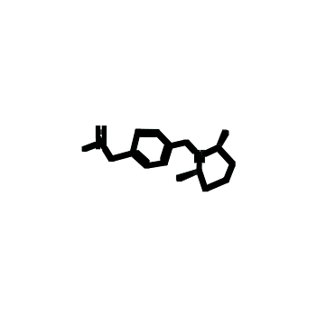 CNCc1ccc(CN2[C@H](C)CCC[C@@H]2C)cc1